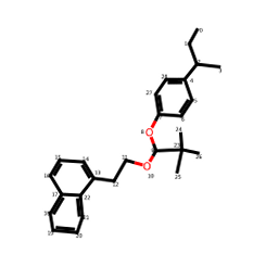 CCC(C)c1ccc(OC(OCCc2cccc3ccccc23)C(C)(C)C)cc1